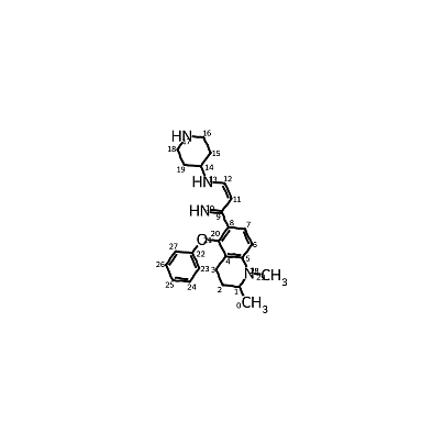 CC1CCc2c(ccc(C(=N)/C=C\NC3CCNCC3)c2Oc2ccccc2)N1C